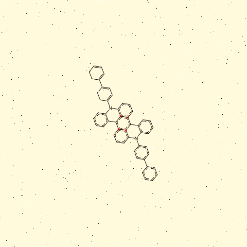 C1=CCCC(C2=CC=C(N(c3ccccc3)c3ccccc3-c3ccc(-c4ccccc4N(c4ccccc4)c4ccc(-c5ccccc5)cc4)cc3)CC2)=C1